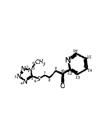 Cn1nnnc1SCCCC(=O)c1ccccn1